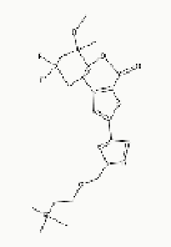 COC1(C)CC(F)(F)Cc2c1oc(=O)c1sc(-c3cnn(COCC[Si](C)(C)C)c3)cc21